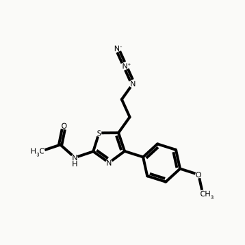 COc1ccc(-c2nc(NC(C)=O)sc2CCN=[N+]=[N-])cc1